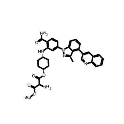 Cc1nn(-c2ccc(C(N)=O)c(N[C@H]3CC[C@H](OC(=O)C(N)C(=O)OC(C)(C)C)CC3)c2)c2cccc(-c3cnc4ccccc4c3)c12